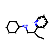 CCC(CNC1CCCCC1)c1ccccn1